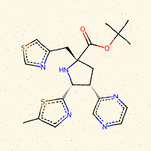 Cc1cnc([C@@H]2N[C@](Cc3cscn3)(C(=O)OC(C)(C)C)C[C@@H]2c2cnccn2)s1